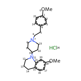 COc1ccc(CCN2CCC(N3CCCc4ccc(OC)cc43)CC2)cc1.Cl